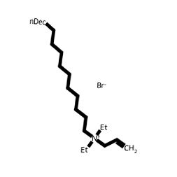 C=CC[N+](CC)(CC)CCCCCCCCCCCCCCCCCCCC.[Br-]